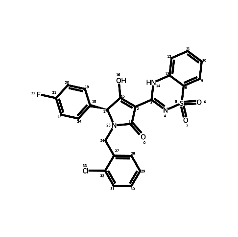 O=C1C(C2=NS(=O)(=O)c3ccccc3N2)=C(O)[C@H](c2ccc(F)cc2)N1Cc1ccccc1Cl